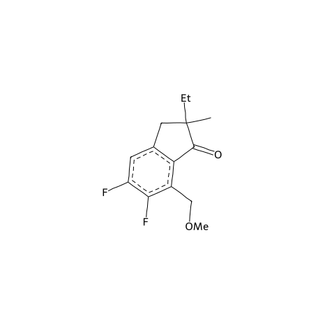 CCC1(C)Cc2cc(F)c(F)c(COC)c2C1=O